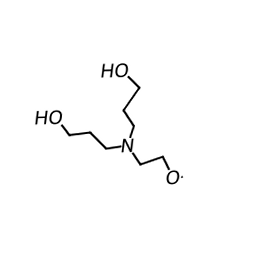 [O]CCN(CCCO)CCCO